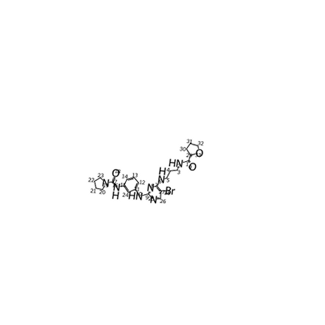 O=C(NCCCNc1nc(Nc2cccc(NC(=O)N3CCCC3)c2)ncc1Br)C1CCCO1